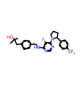 CC(C)(O)Cc1ccc(CNc2ncnc(N3CCCC3c3ccc(C(F)(F)F)cc3)c2F)cc1